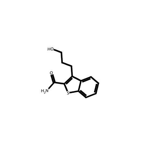 NC(=O)c1sc2ccccc2c1CCCO